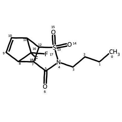 CCCCN1C(=O)C2C3C=CC(C2S1(=O)=O)C3(F)F